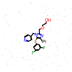 CC(C)c1nc(COCCO)n(Cc2ccncc2)c1Sc1cc(F)cc(F)c1